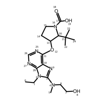 CCn1c(N(C)CCO)nc2c(OC3CCN(C(=O)O)C3C(C)(C)C)ncnc21